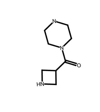 O=C(C1CNC1)N1CC[N]CC1